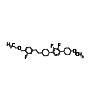 CCOCc1ccc(CCC2CCC(c3ccc(C4CCC(OC)CC4)c(F)c3F)CC2)cc1F